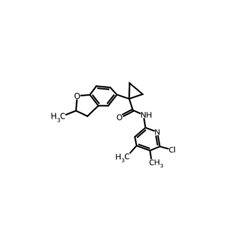 Cc1cc(NC(=O)C2(c3ccc4c(c3)CC(C)O4)CC2)nc(Cl)c1C